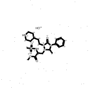 COC(=O)C(CN1C(C)N(c2ccccc2)C(=O)N1CCC1CCNCC1)NS(C)(=O)=O.Cl